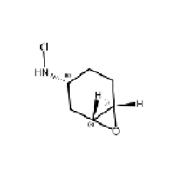 ClN[C@@H]1CC[C@@H]2O[C@@H]2C1